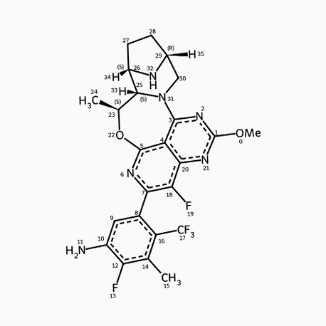 COc1nc2c3c(nc(-c4cc(N)c(F)c(C)c4C(F)(F)F)c(F)c3n1)O[C@@H](C)[C@@H]1[C@@H]3CC[C@H](CN21)N3